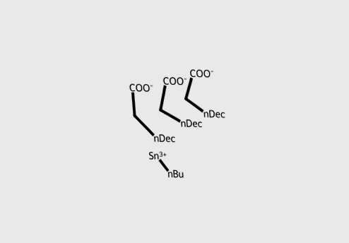 CCCCCCCCCCCC(=O)[O-].CCCCCCCCCCCC(=O)[O-].CCCCCCCCCCCC(=O)[O-].CCC[CH2][Sn+3]